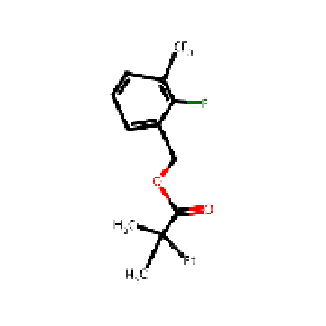 CCC(C)(C)C(=O)OCc1cccc(C(F)(F)F)c1F